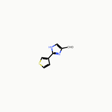 O=Cc1c[nH]c(-c2ccsc2)n1